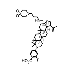 C=C(C)C1CC[C@]2(CNCCCN3CCS(=O)(=O)CC3)CC[C@]3(C)[C@H](CC[C@@H]4[C@@]5(C)CCN(c6ccc(C(=O)O)c(F)c6)C(C)(C)[C@@H]5CC[C@]43C)[C@@H]12